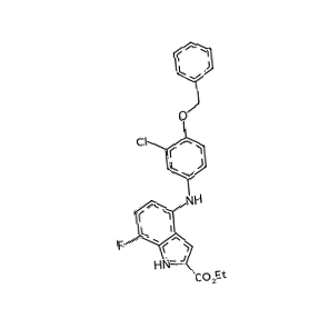 CCOC(=O)c1cc2c(Nc3ccc(OCc4ccccc4)c(Cl)c3)ccc(F)c2[nH]1